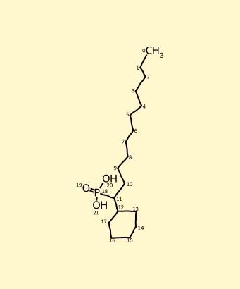 CCCCCCCCCCCC(C1CCCCC1)P(=O)(O)O